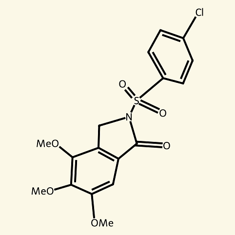 COc1cc2c(c(OC)c1OC)CN(S(=O)(=O)c1ccc(Cl)cc1)C2=O